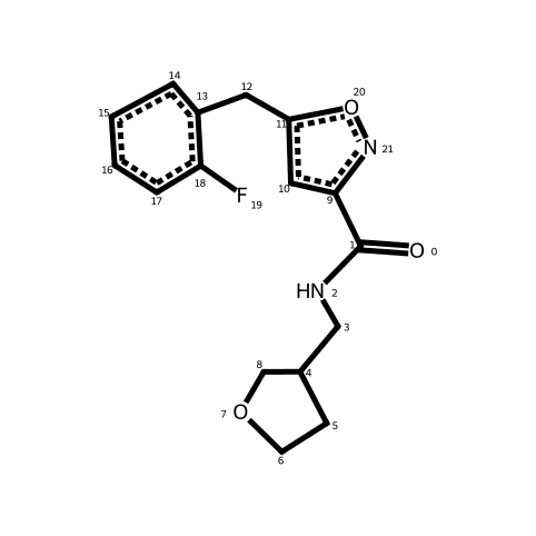 O=C(NCC1CCOC1)c1cc(Cc2ccccc2F)on1